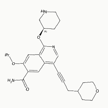 CC(C)Oc1cc2c(O[C@@H]3CCCNC3)ncc(C#CCC3CCOCC3)c2cc1C(N)=O